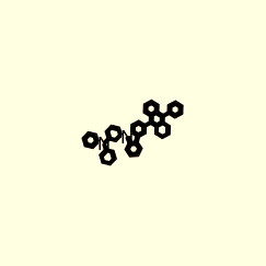 C1=CC(n2c3ccccc3c3cc(-c4c5c(c(-c6ccccc6)c6ccccc46)C=CCC5)ccc32)CC(N(C2=CCCC=C2)c2ccccc2)=C1